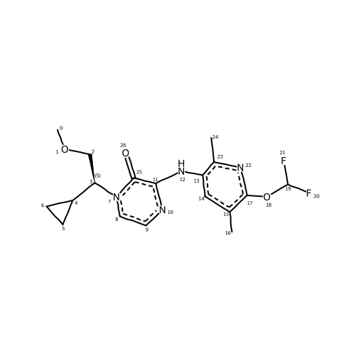 COC[C@H](C1CC1)n1ccnc(Nc2cc(C)c(OC(F)F)nc2C)c1=O